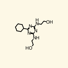 OCCNc1nc(NCCO)nc(C2CCCCC2)n1